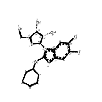 OC[C@@H]1O[C@H](n2c(NC3CCCCC3)nc3cc(Cl)c(Cl)cc32)[C@@H](O)[C@H]1O